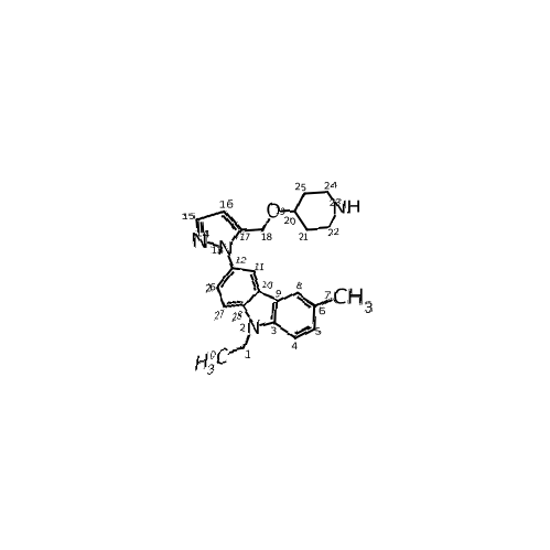 CCn1c2ccc(C)cc2c2cc(-n3nccc3COC3CCNCC3)ccc21